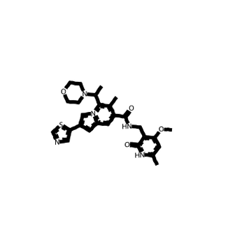 COc1cc(C)[nH]c(=O)c1CNC(=O)c1cc2cc(-c3cncs3)cn2c(C(C)N2CCOCC2)c1C